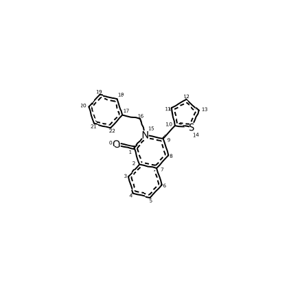 O=c1c2ccccc2cc(-c2cccs2)n1Cc1ccccc1